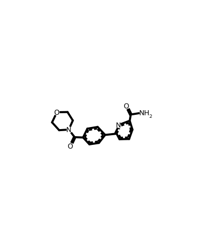 NC(=O)c1cccc(-c2ccc(C(=O)N3CCOCC3)cc2)n1